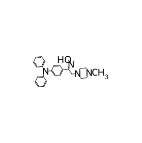 CN1CCN(CC(=NO)c2ccc(N(c3ccccc3)c3ccccc3)cc2)CC1